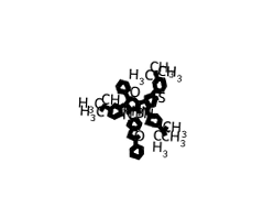 CC(C)(C)c1ccc(Nc2cc3sc4ccc(C(C)(C)C)cc4c3cc2-c2c3c4c(c5cc(C(C)(C)C)ccc5n4-c4cc5cc(-c6ccccc6)oc5cc4B3)c3c2oc2ccccc23)cc1